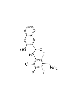 NCc1c(F)c(F)c(Cl)c(NC(=O)c2cc3ccccc3cc2O)c1F